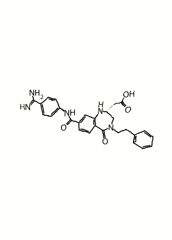 N=C(N)c1ccc(NC(=O)c2ccc3c(c2)N[C@H](CC(=O)O)CN(CCc2ccccc2)C3=O)cc1